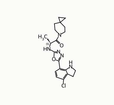 C[C@H](Nc1nnc(-c2ccc(Cl)c3c2NCC3)o1)C(=O)N1CCC2(CC1)CC2